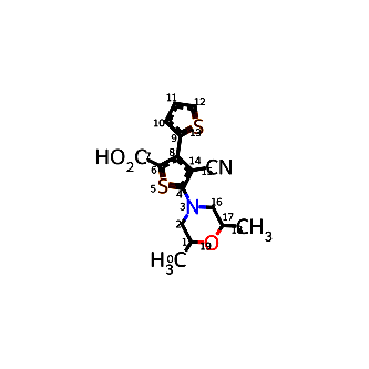 CC1CN(c2sc(C(=O)O)c(-c3cccs3)c2C#N)CC(C)O1